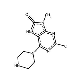 Cn1c(=O)[nH]c2c(N3CCNCC3)nc(Cl)nc21